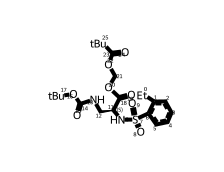 CCc1ccccc1S(=O)(=O)N[C@@H](CNC(=O)OC(C)(C)C)C(=O)OCOC(=O)C(C)(C)C